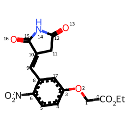 CCOC(=O)COc1ccc([N+](=O)[O-])c(/C=C2\CC(=O)NC2=O)c1